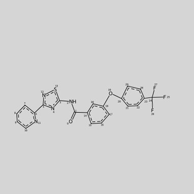 O=C(Nc1nc(-c2ccccn2)ns1)c1cccc(Oc2ccc(C(F)(F)F)cc2)c1